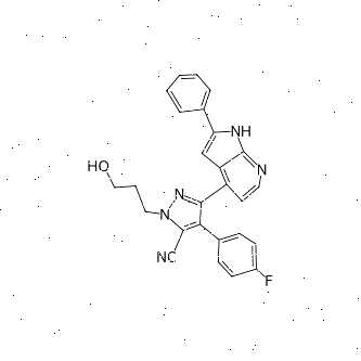 N#Cc1c(-c2ccc(F)cc2)c(-c2ccnc3[nH]c(-c4ccccc4)cc23)nn1CCCO